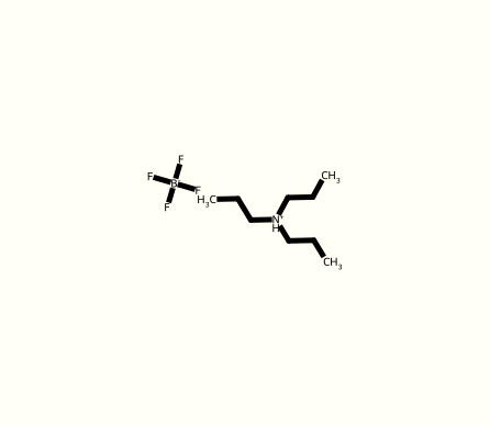 CCC[NH+](CCC)CCC.F[B-](F)(F)F